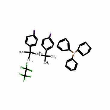 CC(C)(C)c1ccc(I)cc1.CC(C)(C)c1ccc(I)cc1.FC(F)(F)C(F)(F)F.c1ccc([S+](c2ccccc2)c2ccccc2)cc1